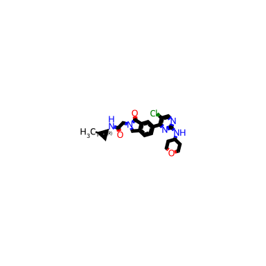 C[C@@H]1C[C@H]1NC(=O)CN1Cc2ccc(-c3nc(NC4CCOCC4)ncc3Cl)cc2C1=O